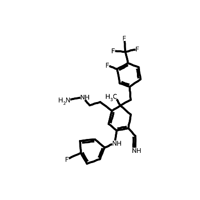 CC1(Cc2ccc(C(F)(F)F)c(F)c2)CC(C=N)=C(Nc2ccc(F)cc2)C=C1CCNN